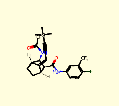 C[Si](C)(C)C#C/C=C1\[C@H]2CC[C@@H]1[C@H](C(=O)Nc1ccc(F)c(C(F)(F)F)c1)[C@@H]2NC(=O)C(F)(F)F